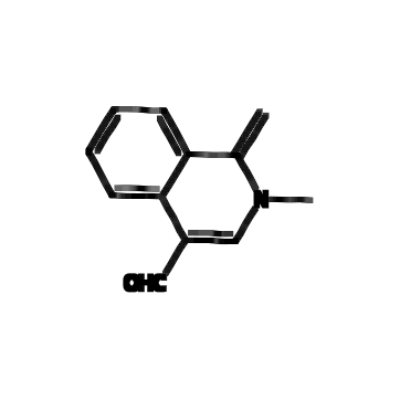 C=C1c2ccccc2C(C=O)=CN1C